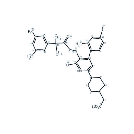 CCOC(=O)CC1CCC(c2cc(-c3ccc(F)cc3C)c(NCC(=O)C(C)(C)c3cc(C(F)(F)F)cc(C(F)(F)F)c3)c(Cl)n2)CC1